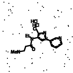 CCN(C(=O)CCNC)c1cn(-c2cccnc2)nc1Cl.Cl.Cl